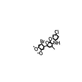 COc1cc(Br)c(-c2cc(C)c(Nc3ccc(Cl)cc3)c(=O)o2)cc1OC